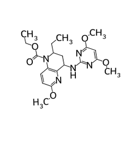 CCOC(=O)N1c2ccc(OC)nc2C(Nc2nc(OC)cc(OC)n2)CC1CC